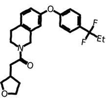 CCC(F)(F)c1ccc(Oc2ccc3c(c2)CN(C(=O)CC2CCOC2)CC3)cc1